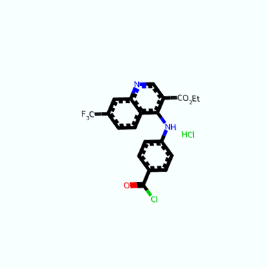 CCOC(=O)c1cnc2cc(C(F)(F)F)ccc2c1Nc1ccc(C(=O)Cl)cc1.Cl